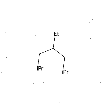 [CH2]CC(CC(C)C)CC(C)C